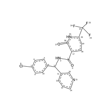 O=C(NC(c1ccc(Cl)cc1)c1cccnc1)c1ccc(C(F)(F)F)[nH]c1=O